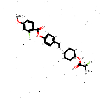 CCCCCCCOc1ccc(C(=O)Oc2ccc(CC[C@H]3CC[C@H](OC(=O)[C@@H](F)CCCC)CC3)cc2)c(F)c1